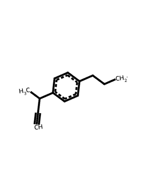 C#CC(C)c1ccc(CC[CH2])cc1